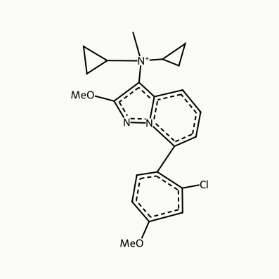 COc1ccc(-c2cccc3c([N+](C)(C4CC4)C4CC4)c(OC)nn23)c(Cl)c1